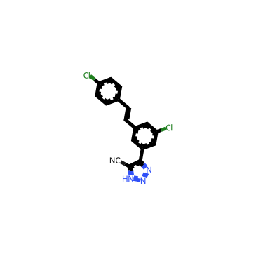 N#Cc1[nH]nnc1-c1cc(Cl)cc(/C=C/c2ccc(Cl)cc2)c1